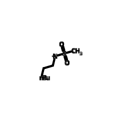 CCCCCC[N]S(C)(=O)=O